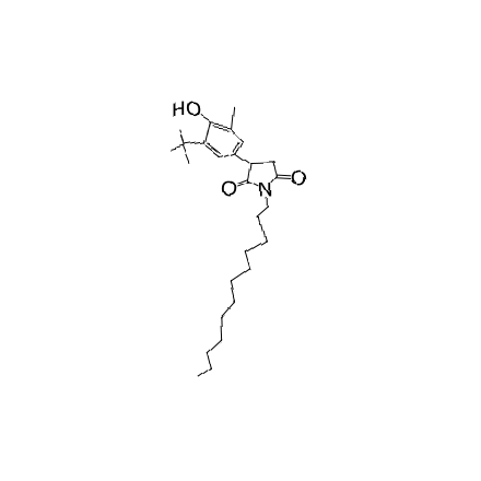 CCCCCCCCCCCCN1C(=O)CC(c2cc(C)c(O)c(C(C)(C)C)c2)C1=O